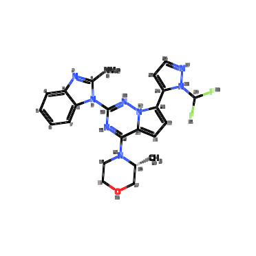 CNc1nc2ccccc2n1-c1nc(N2CCOC[C@H]2C)c2ccc(-c3ccnn3C(F)F)n2n1